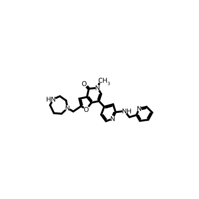 Cn1cc(-c2ccnc(NCc3ccccn3)c2)c2oc(CN3CCCNCC3)cc2c1=O